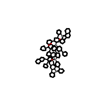 C1=CC(c2cccc3c(-c4cc(N(c5ccc(-c6ccccc6)cc5)c5ccc(-c6ccccc6-n6c7ccccc7c7ccc8ccccc8c76)cc5-c5ccccc5)ccc4-c4ccccc4)cccc23)CC2=CC3C(C=C12)c1ccccc1N3c1ccccc1-c1ccc(N(c2cccc(-c3ccccc3)c2)c2ccc(-c3ccc4ccccc4c3)c(-c3ccccc3)c2)cc1